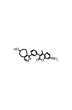 Cc1c(-c2cccc(-c3nncc4c3CCCC(O)CC4)c2)c(=O)oc2cc(N)ccc12